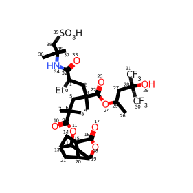 CCC(CC(C)(CC(C)(C)C(=O)OC1C2CC3C(=O)OC1C3C2)C(=O)OC(C)CC(O)(C(F)(F)F)C(F)(F)F)C(=O)NC(C)(C)CS(=O)(=O)O